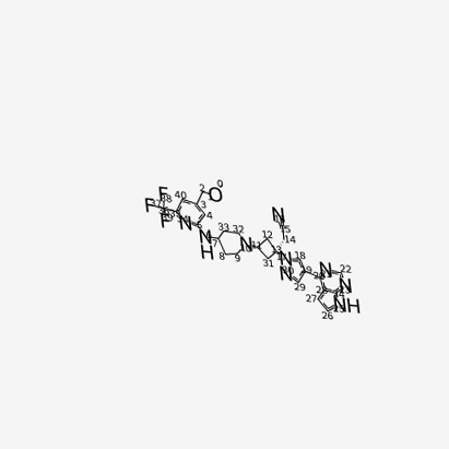 COCc1cc(NC2CCN([C@H]3C[C@@](CC#N)(n4cc(-c5ncnc6[nH]ccc56)cn4)C3)CC2)nc(C(F)(F)F)c1